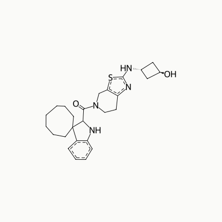 O=C(C1Nc2ccccc2C12CCCCCCC2)N1CCc2nc(N[C@H]3C[C@H](O)C3)sc2C1